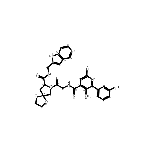 Cc1cccc(-c2nc(C)cc(C(=O)NCC(=O)N3CC4(C[C@H]3C(=O)NCc3cc5cnccc5[nH]3)OCCO4)c2C)c1